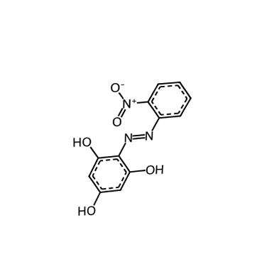 O=[N+]([O-])c1ccccc1N=Nc1c(O)cc(O)cc1O